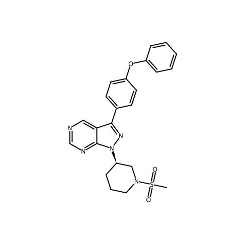 CS(=O)(=O)N1CCC[C@@H](n2nc(-c3ccc(Oc4ccccc4)cc3)c3cncnc32)C1